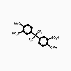 COc1ccc(C(c2ccc(OC)c(S(=O)(=O)O)c2)(C(F)(F)F)C(F)(F)F)cc1S(=O)(=O)O